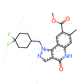 COC(=O)c1cc2c(cc1C)[nH]c(=O)c1cnn(CC3CCC(F)(F)CC3)c12